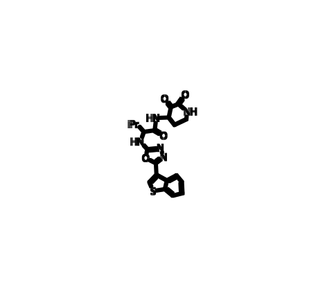 CC(C)C(Nc1nnc(-c2csc3ccccc23)o1)C(=O)NC1CCNC(=O)C1=O